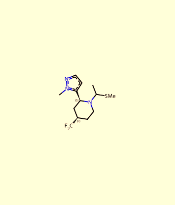 CSC(C)N1CC[C@@H](C(F)(F)F)C[C@H]1c1ccnn1C